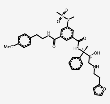 COc1ccc(CCNC(=O)c2cc(C(=O)N[C@@](C)(c3ccccc3)[C@H](O)CNCCc3ccco3)cc(N(C)S(C)(=O)=O)c2)cc1